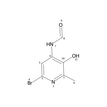 Cc1nc(Br)cc(NC=O)c1O